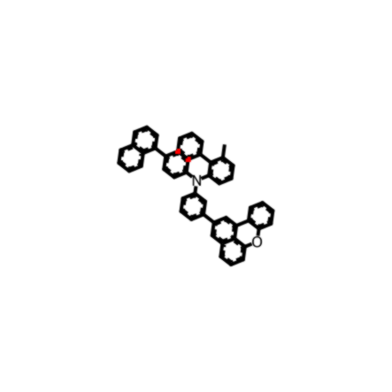 Cc1cccc(N(c2ccc(-c3cccc4ccccc34)cc2)c2cccc(-c3cc4c5c(cccc5c3)Oc3ccccc3-4)c2)c1-c1ccccc1